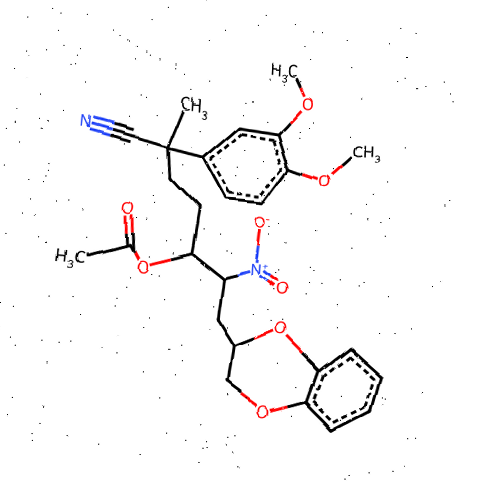 COc1ccc(C(C)(C#N)CCC(OC(C)=O)C(CC2COc3ccccc3O2)[N+](=O)[O-])cc1OC